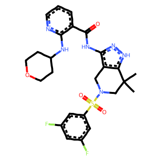 CC1(C)CN(S(=O)(=O)c2cc(F)cc(F)c2)Cc2c(NC(=O)c3cccnc3NC3CCOCC3)n[nH]c21